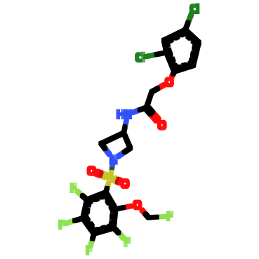 O=C(COc1ccc(Cl)cc1Cl)NC1CN(S(=O)(=O)c2c(F)c(F)c(F)c(F)c2OCF)C1